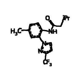 Cc1ccc(NC(=O)CC(C)C)c(-n2ccc(C(F)(F)F)n2)c1